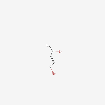 CCC(Br)C=CCBr